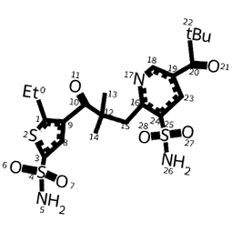 CCc1sc(S(N)(=O)=O)cc1C(=O)C(C)(C)Cc1ncc(C(=O)C(C)(C)C)cc1S(N)(=O)=O